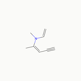 C#C/C=C(/C)N(C)C=C